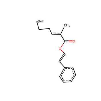 CCCCCCCCCCCCC=C(C)C(=O)OC=Cc1ccccc1